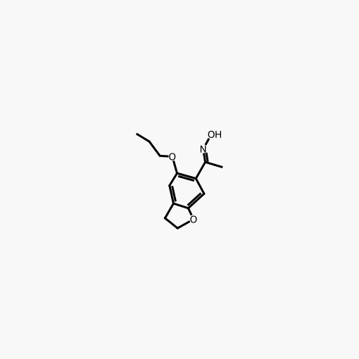 CCCOc1cc2c(cc1/C(C)=N/O)OCC2